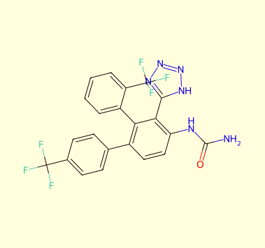 NC(=O)Nc1ccc(-c2ccc(C(F)(F)F)cc2)c(-c2ccccc2C(F)(F)F)c1-c1nnn[nH]1